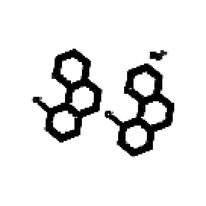 [Mg+2].[O-]c1cccc2ccc3cccnc3c12.[O-]c1cccc2ccc3cccnc3c12